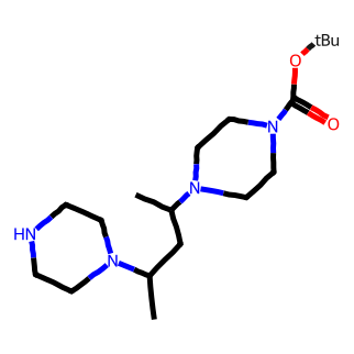 CC(CC(C)N1CCN(C(=O)OC(C)(C)C)CC1)N1CCNCC1